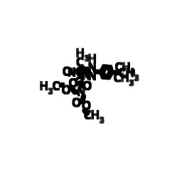 [C-]#[N+]c1c(C)c2[nH]c(-c3ccc(C(C)(C)C)cc3)nn2c1OC(=O)N(CC(=O)OCC)CC(=O)OCC